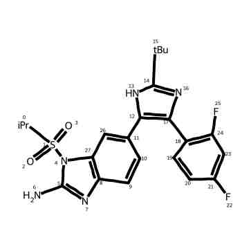 CC(C)S(=O)(=O)n1c(N)nc2ccc(-c3[nH]c(C(C)(C)C)nc3-c3ccc(F)cc3F)cc21